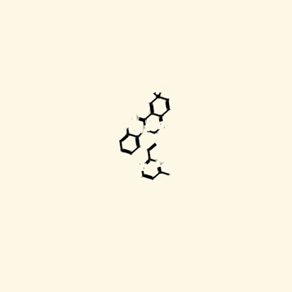 Cc1ccnc(C=C[C@H]2N=C3C=CC(F)(F)C=C3C(=O)N2c2ccccc2Cl)n1